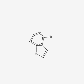 Brc1cccc2c1C=C[N]2